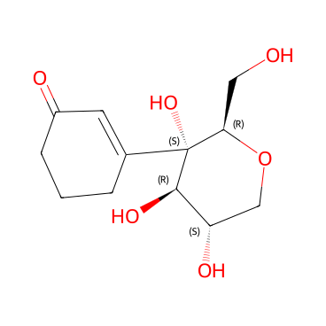 O=C1C=C([C@]2(O)[C@H](O)[C@@H](O)CO[C@@H]2CO)CCC1